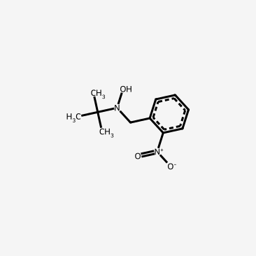 CC(C)(C)N(O)Cc1ccccc1[N+](=O)[O-]